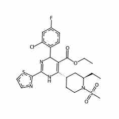 CCOC(=O)C1=C([C@H]2CCN(S(C)(=O)=O)[C@H](CC)C2)NC(c2nccs2)=NC1c1ccc(F)cc1Cl